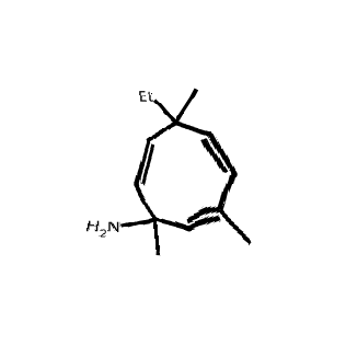 CCC1(C)/C=C\C(C)=C/C(C)(N)/C=C\1